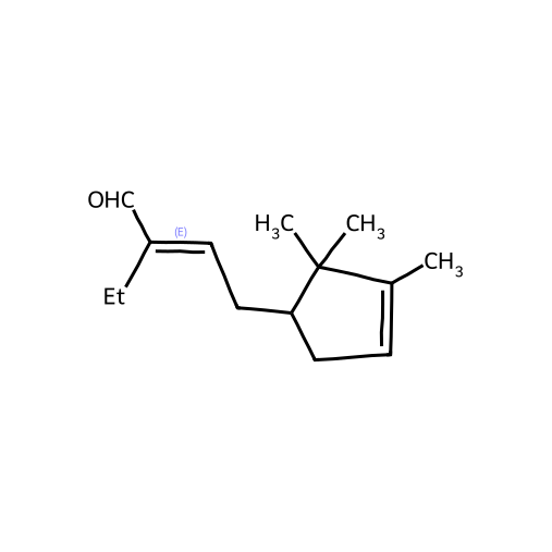 CC/C(C=O)=C\CC1CC=C(C)C1(C)C